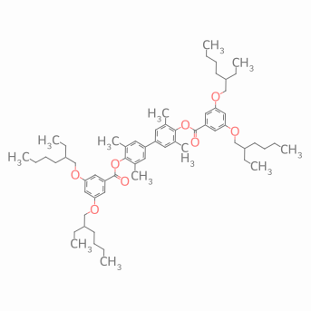 CCCCC(CC)COc1cc(OCC(CC)CCCC)cc(C(=O)Oc2c(C)cc(-c3cc(C)c(OC(=O)c4cc(OCC(CC)CCCC)cc(OCC(CC)CCCC)c4)c(C)c3)cc2C)c1